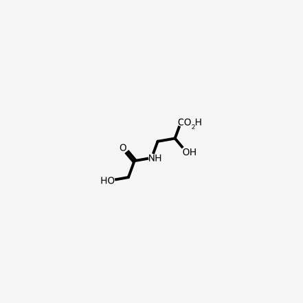 O=C(CO)NCC(O)C(=O)O